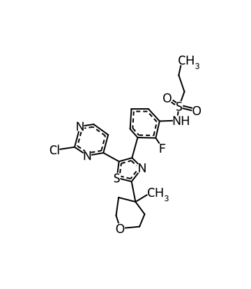 CCCS(=O)(=O)Nc1cccc(-c2nc(C3(C)CCOCC3)sc2-c2ccnc(Cl)n2)c1F